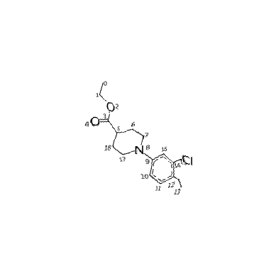 CCOC(=O)C1CCN(c2ccc(C)c(Cl)c2)CC1